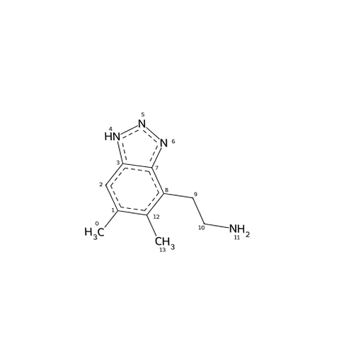 Cc1cc2[nH]nnc2c(CCN)c1C